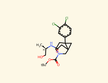 C[C@H](CO)NC(=O)CC12CN(C(=O)OC(C)(C)C)CCC1(c1ccc(Cl)c(Cl)c1)C2